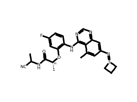 Cc1cc(N=S2CCC2)cc2ncnc(Nc3ccc(F)cc3O[C@H](C)C(=O)NC(C)C#N)c12